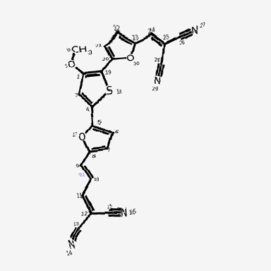 COc1cc(-c2ccc(/C=C/C=C(C#N)C#N)o2)sc1-c1ccc(C=C(C#N)C#N)o1